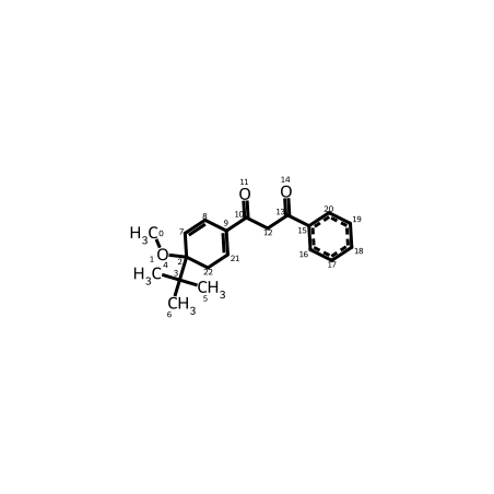 COC1(C(C)(C)C)C=CC(C(=O)CC(=O)c2ccccc2)=CC1